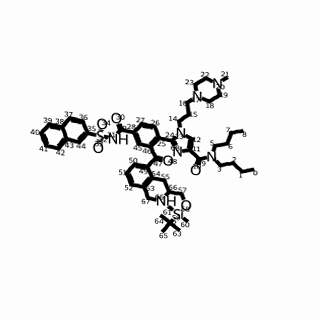 CCCCN(CCCC)C(=O)c1cn(CCCN2CCN(C)CC2)c(-c2ccc(C(=O)NS(=O)(=O)c3ccc4ccccc4c3)cc2C(=O)c2cccc3c2CC(CO[Si](C)(C)C(C)(C)C)NC3)n1